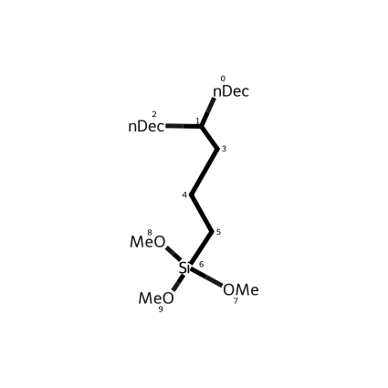 CCCCCCCCCCC(CCCCCCCCCC)CCC[Si](OC)(OC)OC